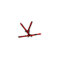 CCCCCCCCCCCCCCCCCC(=O)OCC(COC(=O)CCCCCCCCCCCCCCCCC)OC(=O)CCC(=O)OC(COC(=O)CCCCCCCCCCCCCCCCC)COC(=O)CCCCCCCCCCCCCCCCC